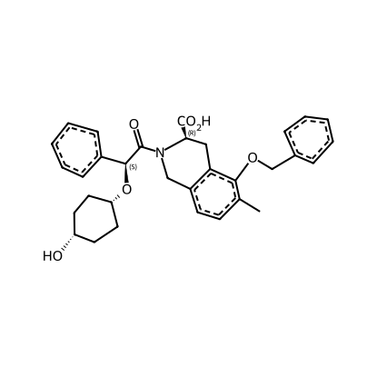 Cc1ccc2c(c1OCc1ccccc1)C[C@H](C(=O)O)N(C(=O)[C@@H](O[C@H]1CC[C@@H](O)CC1)c1ccccc1)C2